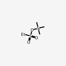 CCS(=O)(=O)O[Si](C)(C)C